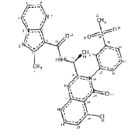 Cc1nn2cccnc2c1C(=O)N[C@@H](C)c1cc2cccc(Cl)c2c(=O)n1-c1cccc(S(C)(=O)=O)c1